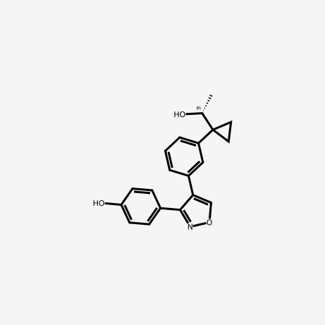 C[C@@H](O)C1(c2cccc(-c3conc3-c3ccc(O)cc3)c2)CC1